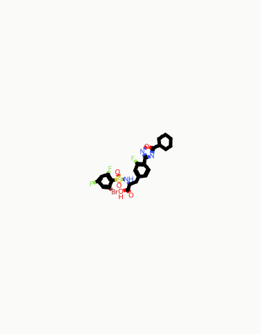 O=C(O)C(Cc1ccc(-c2noc(C3CCCCC3)n2)c(F)c1)NS(=O)(=O)c1c(F)cc(F)cc1Br